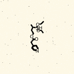 CCO[SiH](OCC)C(C)CCOC(=O)Cc1ccncc1